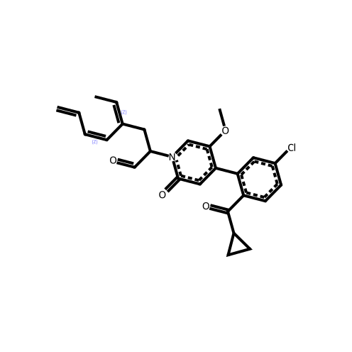 C=C/C=C\C(=C/C)CC(C=O)n1cc(OC)c(-c2cc(Cl)ccc2C(=O)C2CC2)cc1=O